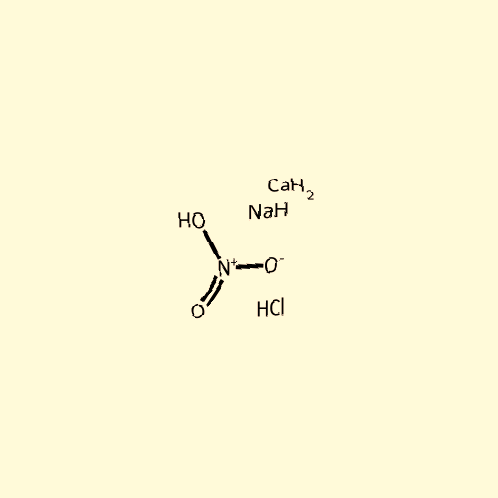 Cl.O=[N+]([O-])O.[CaH2].[NaH]